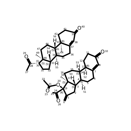 C=C1C[C@H]2[C@@H]3CCC4=CC(=O)CC[C@@H]4[C@H]3CC[C@]2(C)[C@@]1(OC(C)=O)C(C)=O.CC(=O)[C@H]1CC[C@H]2[C@@H]3CCC4=CC(=O)CC[C@]4(C)[C@H]3CC[C@]12C